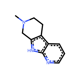 CN1CCc2c([nH]c3ncccc23)C1